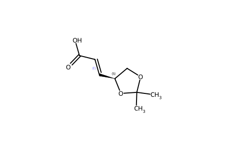 CC1(C)OC[C@H](/C=C/C(=O)O)O1